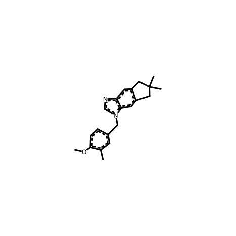 COc1ccc(Cn2cnc3cc4c(cc32)CC(C)(C)C4)cc1C